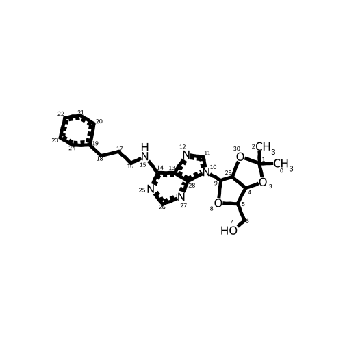 CC1(C)OC2C(CO)OC(n3cnc4c(NCCCc5ccccc5)ncnc43)C2O1